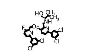 CC(C)[C@H](CO)NCc1nc(-c2cc(Cl)cc(Cl)c2)ccc1F.O=Cc1nc(-c2cc(Cl)cc(Cl)c2)ccc1F